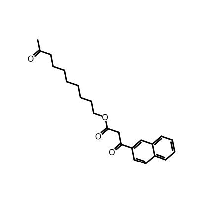 CC(=O)CCCCCCCCOC(=O)CC(=O)c1ccc2ccccc2c1